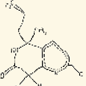 C=CCC1(C)NC(=O)C(CC)(CC)c2nc(Cl)ccc21